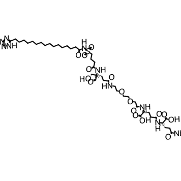 NC(=O)CC[C@H](NC(=O)CC[C@H](NC(=O)COCCOCCNC(=O)CC[C@](C=O)(CO)NC(=O)CCCS(=O)(=O)NC(=O)CCCCCCCCCCCCCCCc1nnn[nH]1)C(=O)O)C(=O)O